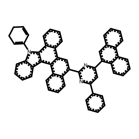 C1=CC(n2c3ccccc3c3c4c5ccccc5c(-c5nc(-c6ccccc6)cc(-c6cc7ccccc7c7ccccc67)n5)cc4c4ccccc4c32)=CCC1